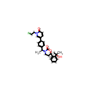 C[C@@H](c1ccc(-c2ccc(=O)n(CCF)c2)cc1)N1CC[C@](CC(C)(C)O)(c2ccccc2)OC1=O